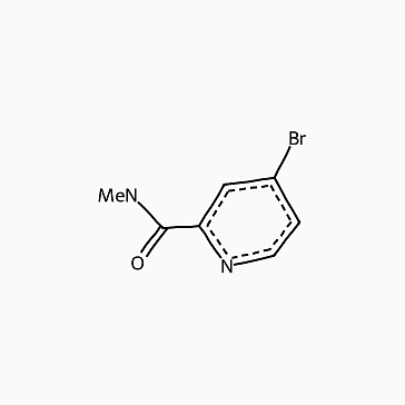 CNC(=O)c1cc(Br)ccn1